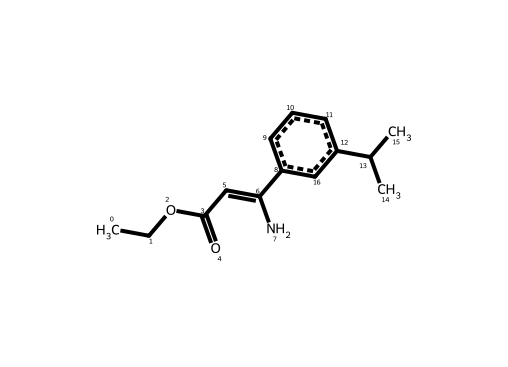 CCOC(=O)C=C(N)c1cccc(C(C)C)c1